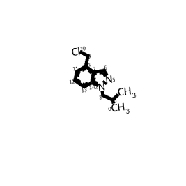 C[C](C)Cn1ncc2c(CCl)cccc21